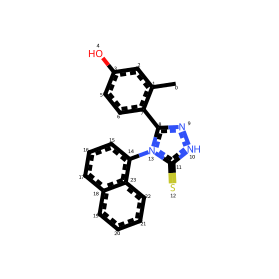 Cc1cc(O)ccc1-c1n[nH]c(=S)n1-c1cccc2ccccc12